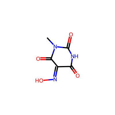 CN1C(=O)NC(=O)C(=NO)C1=O